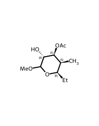 CC[C@H]1OC(OC)[C@H](O)[C@@H](OC(C)=O)[C@H]1C